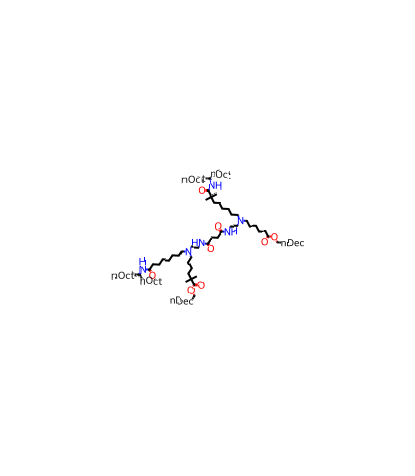 CCCCCCCCCCCOC(=O)CCCCCN(CCCCCCC(C)(C)C(=O)NC(CCCCCCCC)CCCCCCCC)CCNC(=O)CCC(=O)NCCN(CCCCCCCC(=O)NC(CCCCCCCC)CCCCCCCC)CCCCC(C)(C)C(=O)OCCCCCCCCCCC